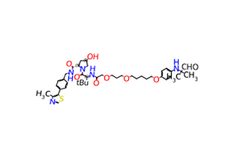 Cc1ncsc1-c1ccc(CNC(=O)[C@@H]2C[C@@H](O)CN2C(=O)[C@@H](NC(=O)COCCCOCCCCCOc2ccc(NC(C)(C)C=O)cc2)C(C)(C)C)cc1